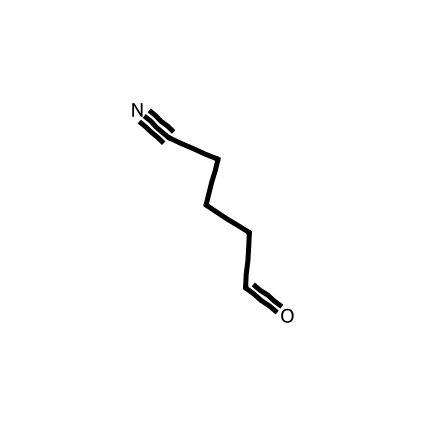 N#CCCCC=O